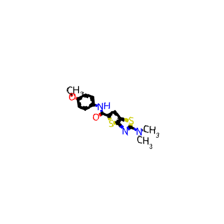 COc1ccc(NC(=O)c2cc3sc(N(C)C)nc3s2)cc1